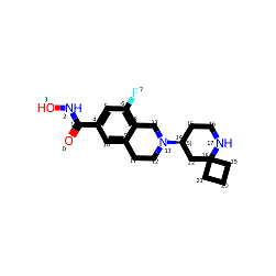 O=C(NO)c1cc(F)c2c(c1)CCN([C@H]1CCNC3(CCC3)C1)C2